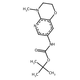 CN1CCOc2cc(NC(=O)OC(C)(C)C)cnc21